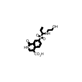 C=CC(NCCO)S(=O)(=O)c1ccc2c(C(=O)O)c[nH]c(=O)c2c1